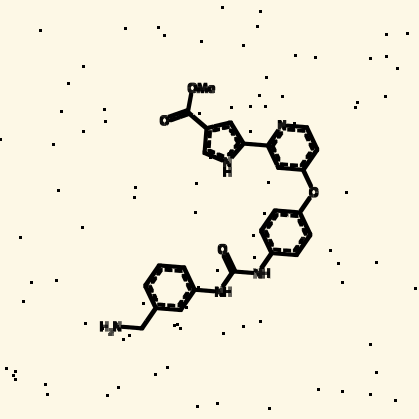 COC(=O)c1c[nH]c(-c2cc(Oc3ccc(NC(=O)Nc4cccc(CN)c4)cc3)ccn2)c1